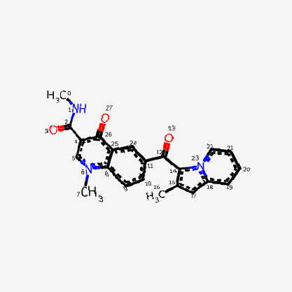 CNC(=O)c1cn(C)c2ccc(C(=O)c3c(C)cc4ccccn34)cc2c1=O